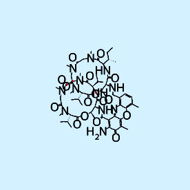 CC[C@H](C)[C@H]1NC(=O)[C@@H](NC(=O)c2ccc(C)c3oc4c(C)c(=O)c(N)c(C(=O)N[C@@H]5C(=O)N[C@H](C(C)C)C(=O)N(C)CC(=O)N(C)CC(=O)N(C)[C@@H](C(C)C)C(=O)O[C@@H]5C)c-4nc23)[C@@H](C)OC(=O)[C@H](C(C)C)N(C)C(=O)CN(C)C(=O)CN(C)C1=O